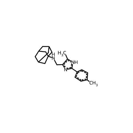 Cc1ccc(-c2nc(CNC34CC5CC(CC(C5)C3)C4)c(C)[nH]2)cc1